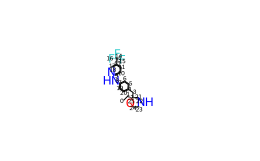 CC[C@@]1(Cc2ccc(Nc3ccc(C(F)(F)F)cn3)cc2)CNCCO1